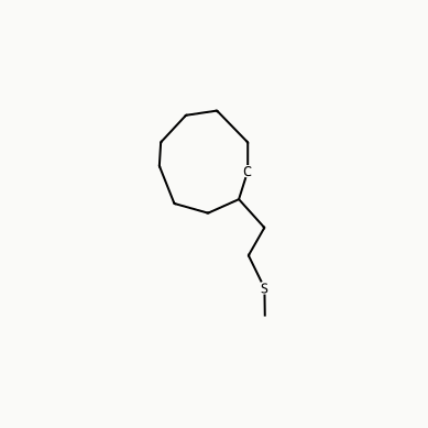 CSCCC1CCCCCCCC1